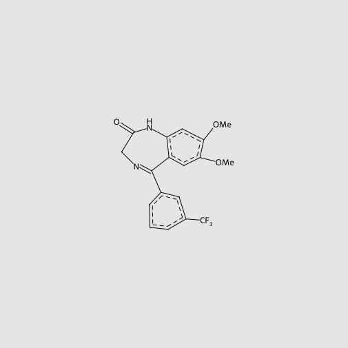 COc1cc2c(cc1OC)C(c1cccc(C(F)(F)F)c1)=NCC(=O)N2